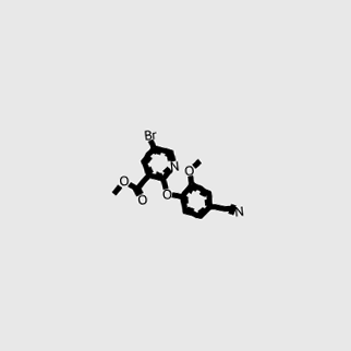 COC(=O)c1cc(Br)cnc1Oc1ccc(C#N)cc1OC